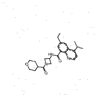 CCc1cc(C(=O)NC2CN(C(=O)C3CCOCC3)C2)c2nccc(C(C)C)c2c1